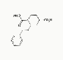 COC(=O)N1CCC(C(=O)O)CC1CCc1ccccc1